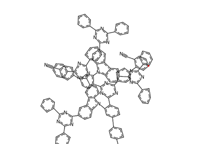 [C-]#[N+]c1ccc(-c2ccc(-c3nc(-c4ccc(-c5ccccc5C#N)cc4)nc(-c4ccc(-c5ccc(C#N)cc5)cc4-n4c5ccc(-c6nc(-c7ccccc7)nc(-c7ccccc7)n6)cc5c5cc(-c6nc(-c7ccccc7)nc(-c7ccccc7)n6)ccc54)n3)c(-n3c4ccc(-c5nc(-c6ccccc6)nc(-c6ccccc6)n5)cc4c4cc(-c5nc(-c6ccccc6)nc(-c6ccccc6)n5)ccc43)c2)cc1